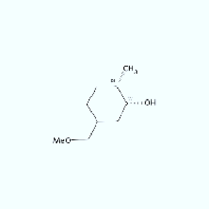 COCC1CC[C@H](C)[C@H](O)C1